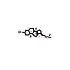 C[SiH](C)OCC=C1CC[C@H]2[C@@H]3CCC4CC(C(C)(C)C)CC[C@]4(C)[C@H]3CC[C@]12C